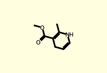 COC(=O)C1=C(C)NC=CC1